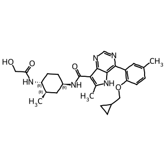 Cc1ccc(OCC2CC2)c(-c2ncnc3c(C(=O)N[C@@H]4CC[C@@H](NC(=O)CO)[C@H](C)C4)c(C)[nH]c23)c1